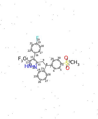 CS(=O)(=O)c1ccc(C(Cc2n[nH]c(C(F)(F)F)c2-c2ccc(F)cc2)c2ccccc2)cc1